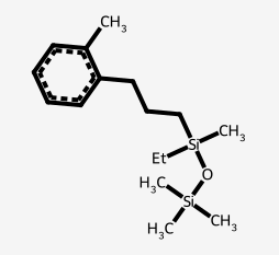 CC[Si](C)(CCCc1ccccc1C)O[Si](C)(C)C